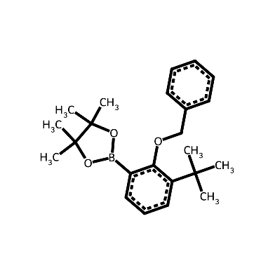 CC(C)(C)c1cccc(B2OC(C)(C)C(C)(C)O2)c1OCc1ccccc1